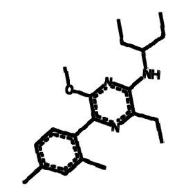 CCc1nc(-c2ccc(C)cc2C)c(OC)nc1NC(CC)CC